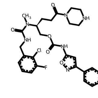 CN(C(=O)NCc1cccc(F)c1Cl)[C@@H](CCC(=O)N1CCNCC1)COC(=O)Nc1cc(-c2ccccc2)no1